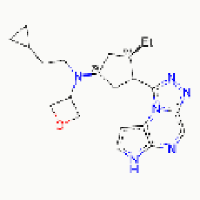 CC[C@@H]1C[C@H](N(CCC2CC2)C2COC2)CC1c1nnc2cnc3[nH]ccc3n12